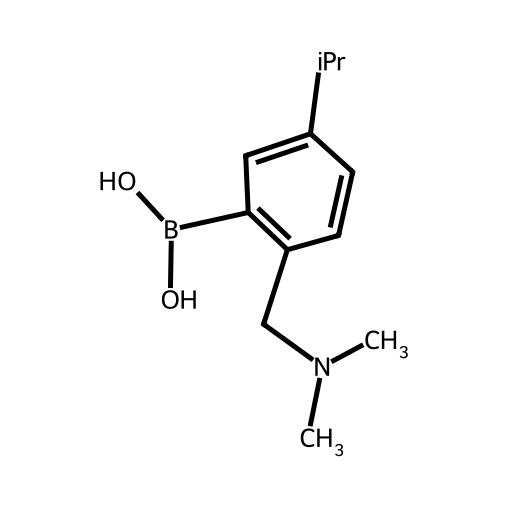 CC(C)c1ccc(CN(C)C)c(B(O)O)c1